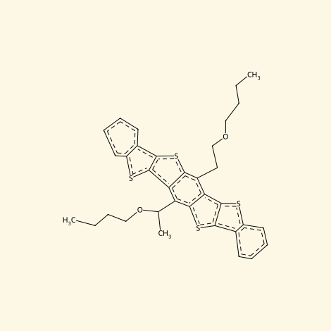 CCCCOCCc1c2sc3c4ccccc4sc3c2c(C(C)OCCCC)c2sc3c4ccccc4sc3c12